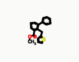 COC(=O)c1cccc(-c2ccccc2)c1Cc1cccs1